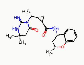 C[C@H]([C@@H]1C[C@H]1C(=O)N[C@H]1C[C@H](C)Oc2ccccc21)N1C(=N)NC(C)(C)CC1=O